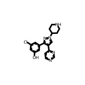 Oc1cc(Cl)cc(-c2nn(C3CCNCC3)cc2-c2ccncn2)c1